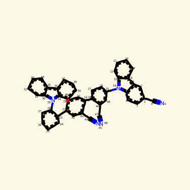 N#Cc1ccc2c(c1)c1ccccc1n2-c1ccc(-c2ccc(-c3ccccc3-n3c4ccccc4c4ccccc43)cc2C#N)c(C#N)c1